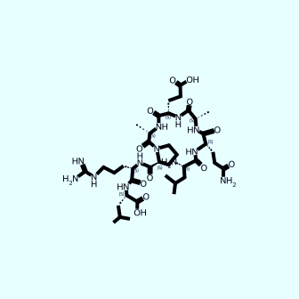 CC(C)C[C@H](NC(=O)[C@H](CCCNC(=N)N)NC(=O)[C@@H]1CCCN1C(=O)[C@H](C)NC(=O)[C@H](CCC(=O)O)NC(=O)[C@H](C)NC(=O)[C@H](CCC(N)=O)NC(=O)[C@@H](N)CC(C)C)C(=O)O